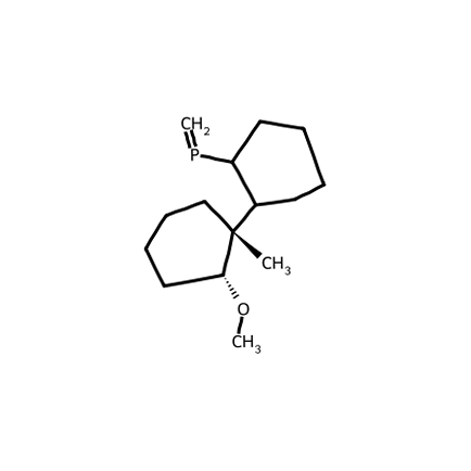 C=PC1CCCCC1[C@@]1(C)CCCC[C@H]1OC